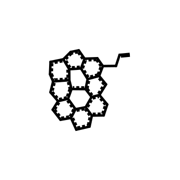 C=CCc1cc2ccc3ccc4cc5ccc6ccc7ccc8cc1c1c2c3c4c2c5c6c7c8c12